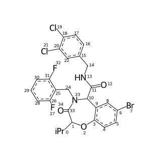 CC(C)C1Oc2ccc(Br)cc2C(C(=O)NCc2ccc(Cl)c(Cl)c2)N(Cc2c(F)cccc2F)C1=O